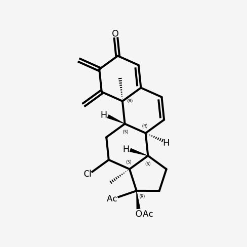 C=C1C(=C)[C@@]2(C)C(=CC1=O)C=C[C@@H]1[C@@H]2CC(Cl)[C@@]2(C)[C@H]1CC[C@]2(OC(C)=O)C(C)=O